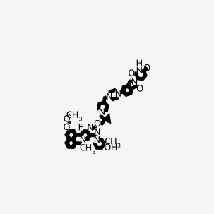 CCc1cccc2cc(OCOC)cc(-c3ncc4c(N5CCC[C@@](C)(O)C5)nc(OCC5(CN6CCC(CN7CCN(c8ccc9c(c8)CN([C@H]8CCC(=O)NC8=O)C9=O)CC7)CC6)CC5)nc4c3F)c12